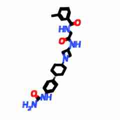 Cc1cccc(C(=O)NCC(=O)NC2CN([C@H]3CC[C@@H](c4ccc(NC(N)=O)cc4)CC3)C2)c1